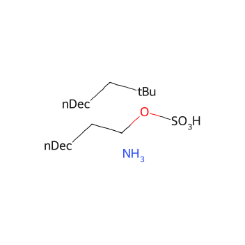 CCCCCCCCCCCC(C)(C)C.CCCCCCCCCCCCOS(=O)(=O)O.N